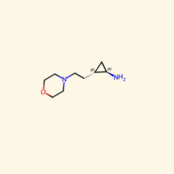 N[C@@H]1C[C@H]1CCN1CCOCC1